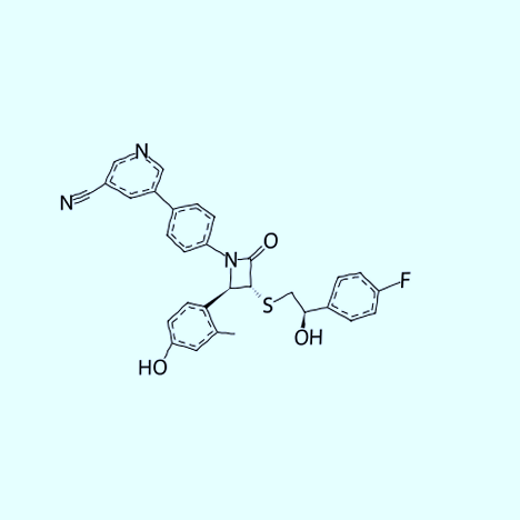 Cc1cc(O)ccc1[C@@H]1[C@@H](SC[C@H](O)c2ccc(F)cc2)C(=O)N1c1ccc(-c2cncc(C#N)c2)cc1